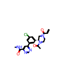 C=CC(=O)N1CCN(C(C)=O)[C@H](c2cc(Cl)cc(-c3cc(C(=O)NC)ncn3)c2)C1